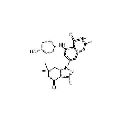 Cc1cc2cc(-n3nc(C)c4c3CC(C)(C)CC4=O)cc(N[C@H]3CC[C@H](O)CC3)c2c(=O)[nH]1